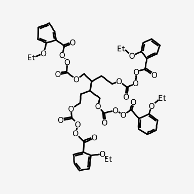 CCOc1ccccc1C(=O)OOC(=O)OCCC(COC(=O)OOC(=O)c1ccccc1OCC)C(CCOC(=O)OOC(=O)c1ccccc1OCC)COC(=O)OOC(=O)c1ccccc1OCC